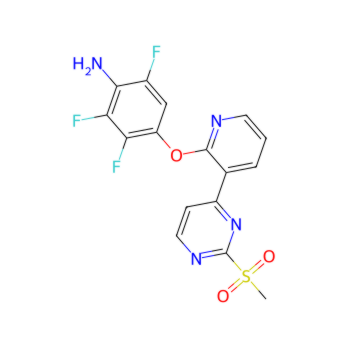 CS(=O)(=O)c1nccc(-c2cccnc2Oc2cc(F)c(N)c(F)c2F)n1